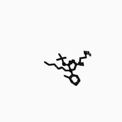 CCCCCC[N+](CC(=O)NCCN)(C(=O)OC(C)(C)C)c1ccccc1C